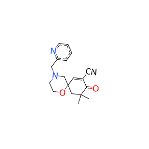 CC1(C)CC2(C=C(C#N)C1=O)CN(Cc1ccccn1)CCO2